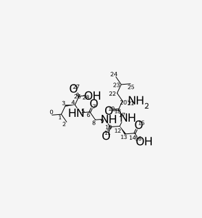 CC(C)C[C@H](NC(=O)CNC(=O)[C@H](CC(=O)O)NC(=O)[C@@H](N)CC(C)C)C(=O)O